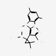 C[S+]([O-])C1(c2c(C#N)nn3c4c(Cl)cc(C(F)(F)F)cc4n(Cl)c23)CC1(F)F